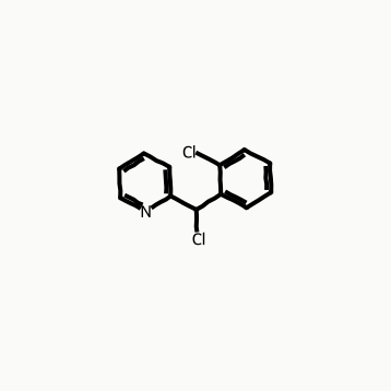 Clc1ccccc1C(Cl)c1ccccn1